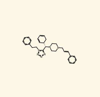 C1=CCC([C@@H](c2nnnn2CCc2ccccc2)N2CCN(C/C=C/c3ccccc3)CC2)C=C1